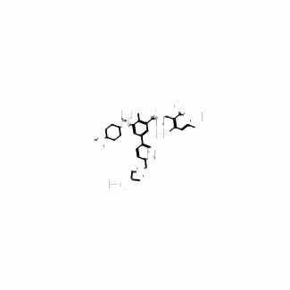 CCN(c1cc(-c2ccc(CN3CC(O)C3)nc2)cc(C(=O)NCc2c(C)cc(C)[nH]c2=O)c1C)C1CCC(N(C)C)CC1